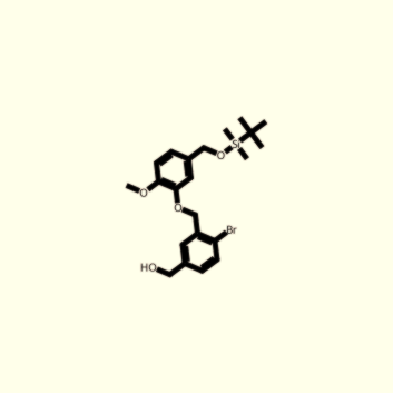 COc1ccc(CO[Si](C)(C)C(C)(C)C)cc1OCc1cc(CO)ccc1Br